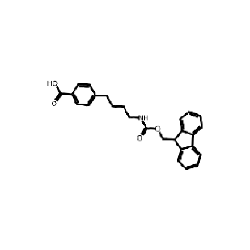 O=C(NCCCCc1ccc(C(=O)O)cc1)OCC1c2ccccc2-c2ccccc21